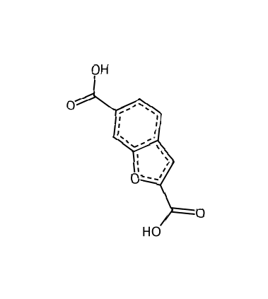 O=C(O)c1ccc2cc(C(=O)O)oc2c1